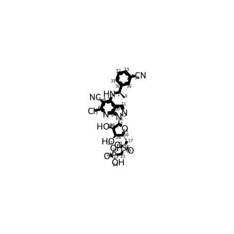 C[C@@H](Nc1c(C#N)c(Cl)nc2c1cnn2[C@@H]1O[C@H](CS(=O)(=O)CP(=O)(O)O)[C@@H](O)[C@H]1O)c1cccc(C#N)c1